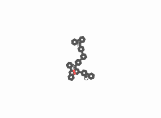 c1cc(-c2ccc(N(c3cccc(-c4ccc5c(c4)oc4ccccc45)c3)c3ccccc3-c3ccc4ccccc4c3)cc2)cc(-c2ccc(-n3c4ccccc4c4ccccc43)cc2)c1